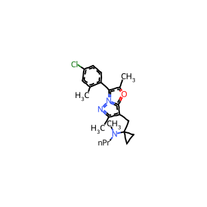 CCCN(C)C1(Cc2c(C)nn3c(-c4ccc(Cl)cc4C)c(C)oc23)CC1